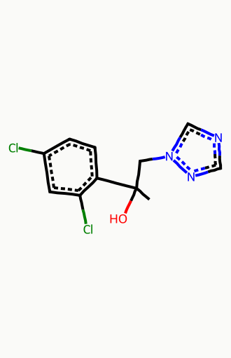 CC(O)(Cn1cncn1)c1ccc(Cl)cc1Cl